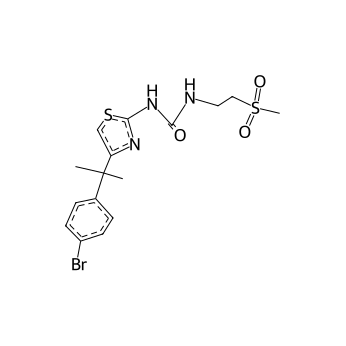 CC(C)(c1ccc(Br)cc1)c1csc(NC(=O)NCCS(C)(=O)=O)n1